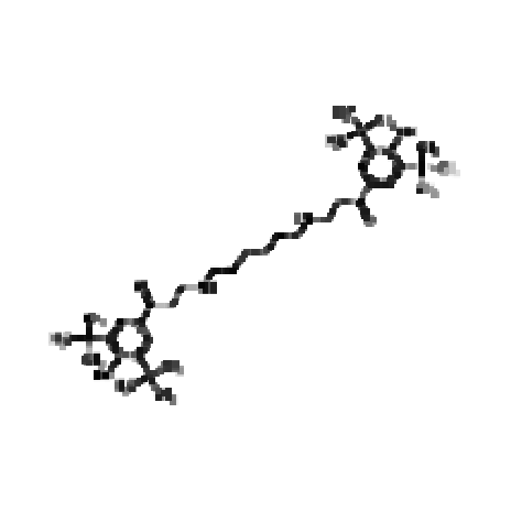 CC(C)(C)c1cc(C(=O)CCNCCCCCCNCCC(=O)c2cc(C(C)(C)C)c(O)c(C(C)(C)C)c2)cc(C(C)(C)C)c1O